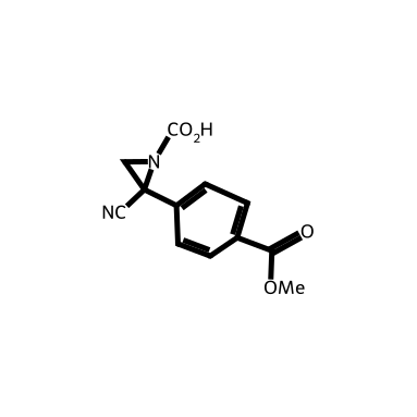 COC(=O)c1ccc(C2(C#N)CN2C(=O)O)cc1